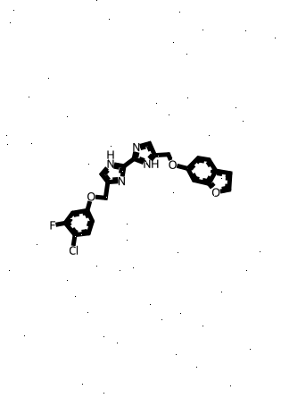 Fc1cc(OCc2c[nH]c(-c3ncc(COc4ccc5ccoc5c4)[nH]3)n2)ccc1Cl